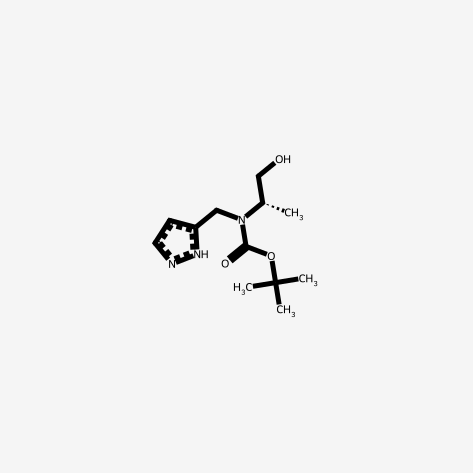 C[C@@H](CO)N(Cc1ccn[nH]1)C(=O)OC(C)(C)C